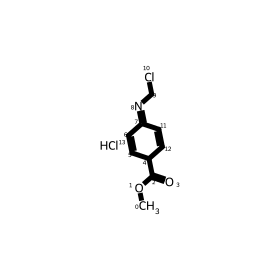 COC(=O)C1C=CC(=NCCl)C=C1.Cl